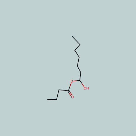 CCCCCCC(O)OC(=O)CCC